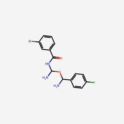 NC(NC(=O)c1cccc(Br)c1)OC(N)c1ccc(F)cc1